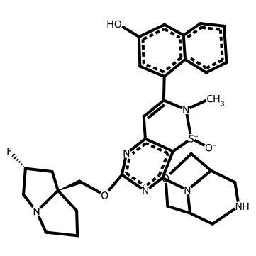 CN1C(c2cc(O)cc3ccccc23)=Cc2nc(OC[C@@]34CCCN3C[C@H](F)C4)nc(N3C4CNCC3COC4)c2[S+]1[O-]